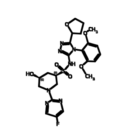 COc1cccc(OC)c1-n1c(NS(=O)(=O)[C@@H]2C[C@H](O)CN(c3ncc(F)cn3)C2)nnc1C1CCCO1